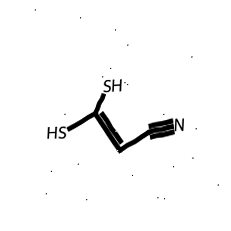 N#CC=C(S)S